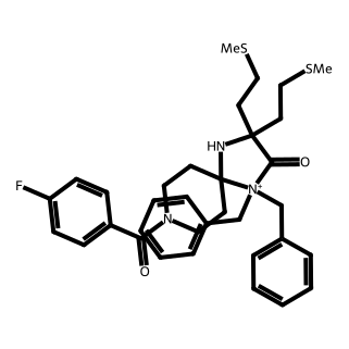 CSCCC1(CCSC)NC2(CCN(C(=O)c3ccc(F)cc3)CC2)[N+](Cc2ccccc2)(Cc2ccccc2)C1=O